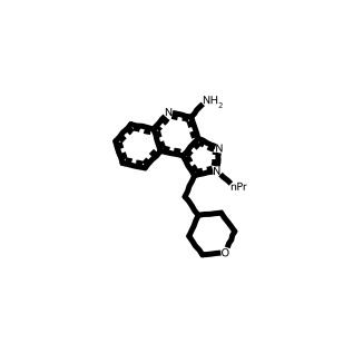 CCCn1nc2c(N)nc3ccccc3c2c1CC1CCOCC1